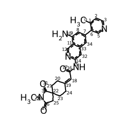 Cc1ccncc1-c1cc(N)c2cnc(NC(=O)C=C3CCC4(CC3)CC(=O)N(C)C4=O)cc2c1